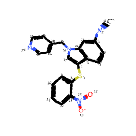 [C-]#[N+]c1ccc2c(Sc3ccccc3[N+](=O)[O-])cn(Cc3ccncc3)c2c1